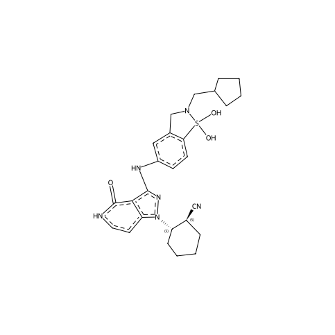 N#C[C@H]1CCCC[C@@H]1n1nc(Nc2ccc3c(c2)CN(CC2CCCC2)S3(O)O)c2c(=O)[nH]ccc21